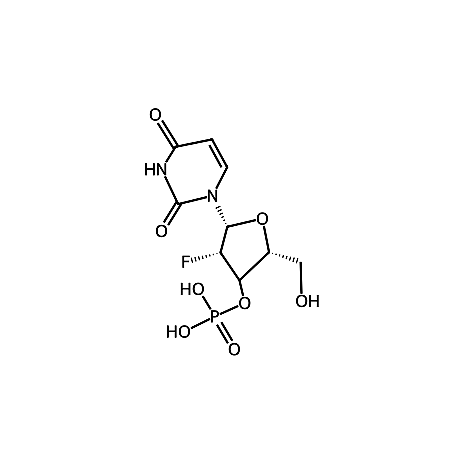 O=c1ccn([C@@H]2O[C@H](CO)C(OP(=O)(O)O)[C@@H]2F)c(=O)[nH]1